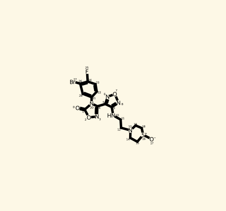 O=c1onc(-c2nonc2NCCN2CC[S+]([O-])CC2)n1-c1ccc(F)c(Br)c1